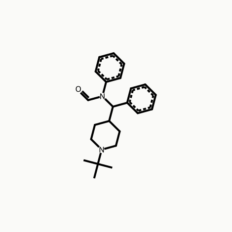 CC(C)(C)N1CCC(C(c2ccccc2)N(C=O)c2ccccc2)CC1